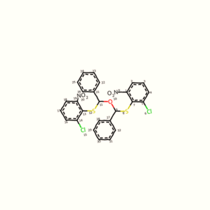 O=[N+]([O-])c1cccc(Cl)c1SC(OC(Sc1c(Cl)cccc1[N+](=O)[O-])c1ccccc1)c1ccccc1